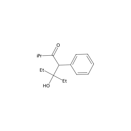 CCC(O)(CC)C(C(=O)C(C)C)c1ccccc1